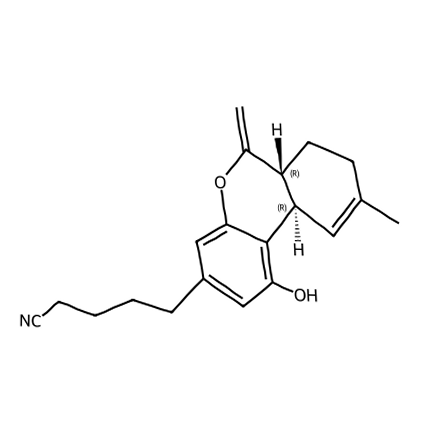 C=C1Oc2cc(CCCCC#N)cc(O)c2[C@@H]2C=C(C)CC[C@@H]12